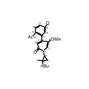 COc1cn(C2[CH]C2(C)C(C)(C)C)c(=O)cc1-c1cc(Cl)ccc1C(C)=O